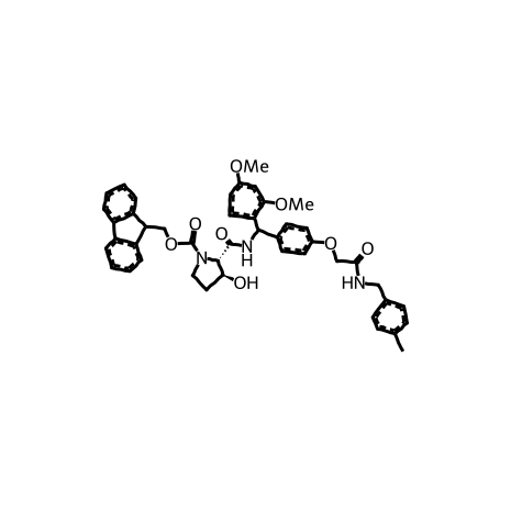 COc1ccc(C(NC(=O)[C@@H]2[C@@H](O)CCN2C(=O)OCC2c3ccccc3-c3ccccc32)c2ccc(OCC(=O)NCc3ccc(C)cc3)cc2)c(OC)c1